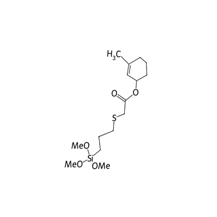 CO[Si](CCCSCC(=O)OC1C=C(C)CCC1)(OC)OC